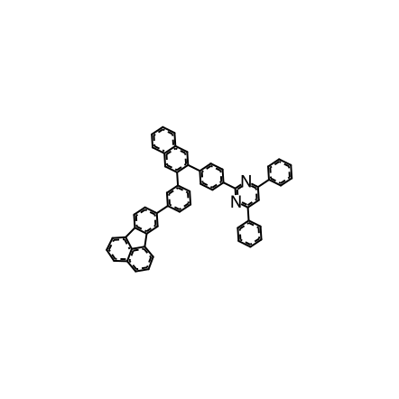 c1ccc(-c2cc(-c3ccccc3)nc(-c3ccc(-c4cc5ccccc5cc4-c4cccc(-c5ccc6c(c5)-c5cccc7cccc-6c57)c4)cc3)n2)cc1